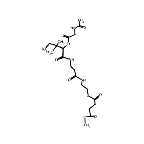 COC(=O)CCC(=O)SCCNC(=O)CCNC(=O)C(OC(=O)CNC(C)=O)C(C)(C)CO